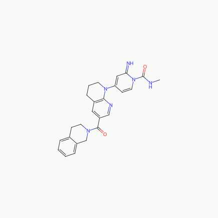 CNC(=O)n1ccc(N2CCCc3cc(C(=O)N4CCc5ccccc5C4)cnc32)cc1=N